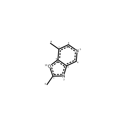 Cc1nc2cncc(C)c2o1